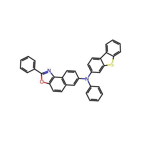 c1ccc(-c2nc3c(ccc4cc(N(c5ccccc5)c5ccc6c(c5)sc5ccccc56)ccc43)o2)cc1